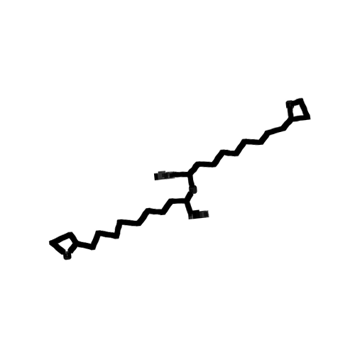 CCCCCCC(CCCCCCCCC1CCO1)OC(CCCCCC)CCCCCCCCC1CCO1